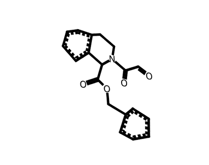 O=CC(=O)N1CCc2ccccc2C1C(=O)OCc1ccccc1